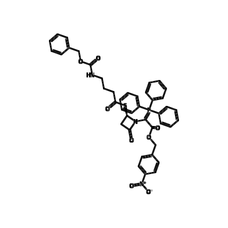 O=C(NCCCC(=O)S[C@@H]1CC(=O)N1C(C(=O)OCc1ccc([N+](=O)[O-])cc1)=P(c1ccccc1)(c1ccccc1)c1ccccc1)OCc1ccccc1